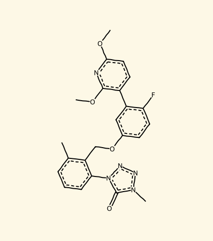 COc1ccc(-c2cc(OCc3c(C)cccc3-n3nnn(C)c3=O)ccc2F)c(OC)n1